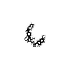 O=C(NCC1CC(=O)N(c2ccc(C3(CN4CCCC4)CC3)cc2)C1)c1ccc2ccc(Cl)cc2c1